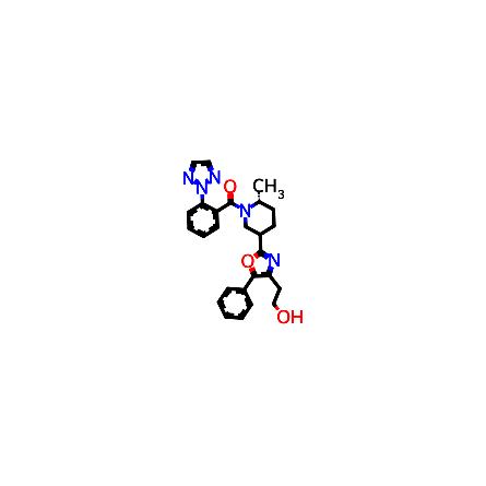 C[C@@H]1CCC(c2nc(CCO)c(-c3ccccc3)o2)CN1C(=O)c1ccccc1-n1nccn1